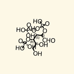 O=C[C@H](OP(=O)(O)O)[C@@H](OP(=O)(O)O)[C@H](OP(=O)(O)O)[C@H](O)CO